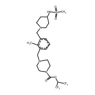 Cc1c(CN2CCC(NS(C)(=O)=O)CC2)cccc1CN1CCN(C(=O)OC(C(F)(F)F)C(F)(F)F)CC1